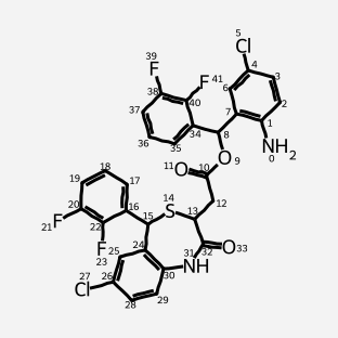 Nc1ccc(Cl)cc1C(OC(=O)CC1SC(c2cccc(F)c2F)c2cc(Cl)ccc2NC1=O)c1cccc(F)c1F